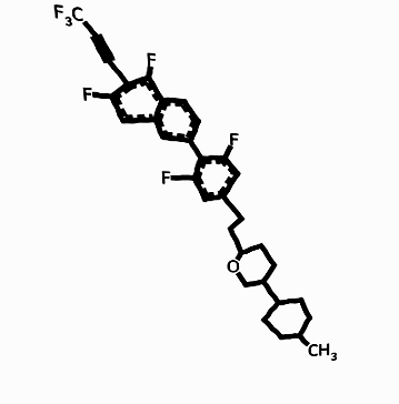 CC1CCC(C2CCC(CCc3cc(F)c(-c4ccc5c(F)c(C#CC(F)(F)F)c(F)cc5c4)c(F)c3)OC2)CC1